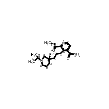 CNC(=O)c1nccc(C(N)=O)c1CCCC1(F)CCCN(C(C)C)C1